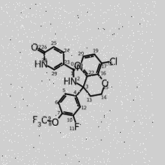 O=C(NC1(c2ccc(OC(F)(F)F)c(F)c2)CCOc2c(Cl)ccnc21)c1ccc(=O)[nH]c1